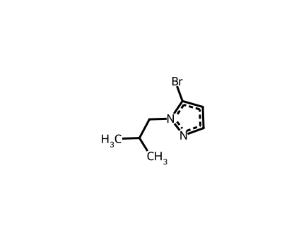 CC(C)Cn1nccc1Br